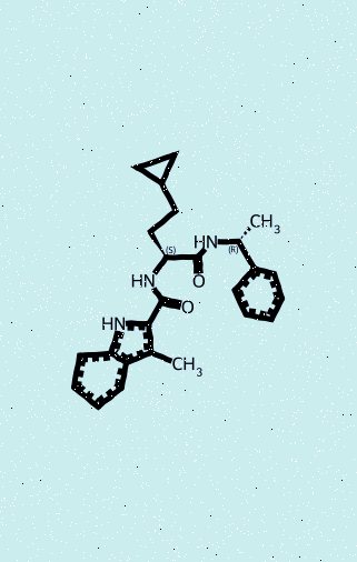 Cc1c(C(=O)N[C@@H](CCC2CC2)C(=O)N[C@H](C)c2ccccc2)[nH]c2ccccc12